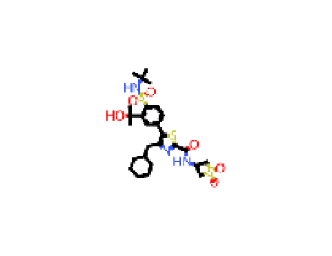 CC(C)(C)NS(=O)(=O)c1ccc(-c2sc(C(=O)NC3CS(=O)(=O)C3)nc2CC2CCCCC2)cc1C(C)(C)O